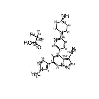 Cn1cc(-c2cc(-c3ccc(N4CCS(=N)CC4)nc3)c3c(C#N)cnn3c2)cn1.O=C(O)C(F)(F)F